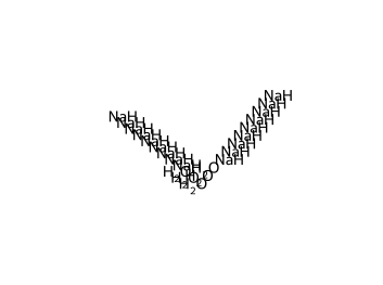 O.O.O.O.O.[NaH].[NaH].[NaH].[NaH].[NaH].[NaH].[NaH].[NaH].[NaH].[NaH].[NaH].[NaH].[NaH].[NaH].[NaH].[NaH].[NaH].[NaH]